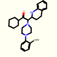 COc1ccccc1N1CCN(C(C(=O)C2CCCCC2)C2CCc3ccccc3N2)CC1